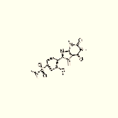 COc1cc(S(=O)(=O)N(C)C)ccc1-c1nc2c([nH]1)c(=O)n(C)c(=O)n2C